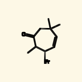 CC(C)C1C=CC(C)(C)CC(=O)C1C